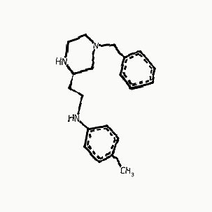 Cc1ccc(NCC[C@@H]2CN(Cc3ccccc3)CCN2)cc1